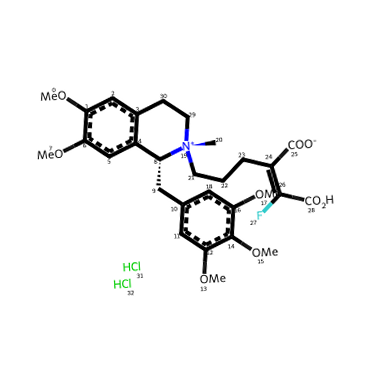 COc1cc2c(cc1OC)[C@@H](Cc1cc(OC)c(OC)c(OC)c1)[N@@+](C)(CCCC(C(=O)[O-])=C(F)C(=O)O)CC2.Cl.Cl